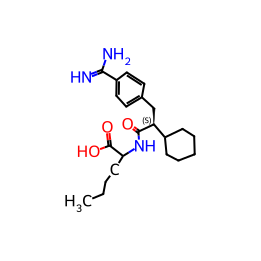 CCCCC(NC(=O)[C@@H](Cc1ccc(C(=N)N)cc1)C1CCCCC1)C(=O)O